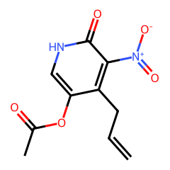 C=CCc1c(OC(C)=O)c[nH]c(=O)c1[N+](=O)[O-]